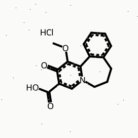 COc1c2n(cc(C(=O)O)c1=O)CCCc1ccccc1-2.Cl